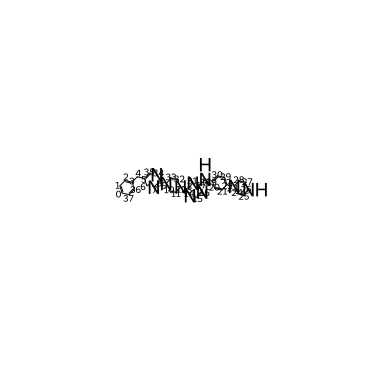 c1ccc(Cc2cnc(N3CCN(c4ncnc(Nc5ccc(N6CCNCC6)cc5)n4)CC3)nc2)cc1